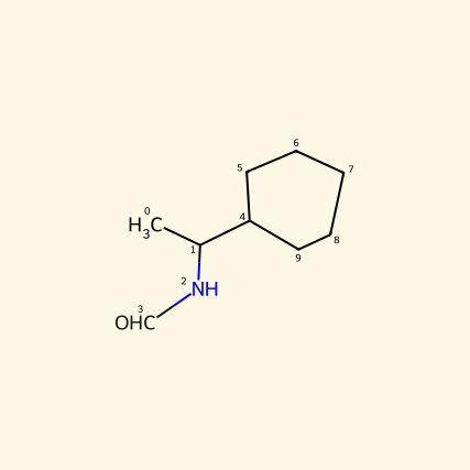 CC(NC=O)C1CCCCC1